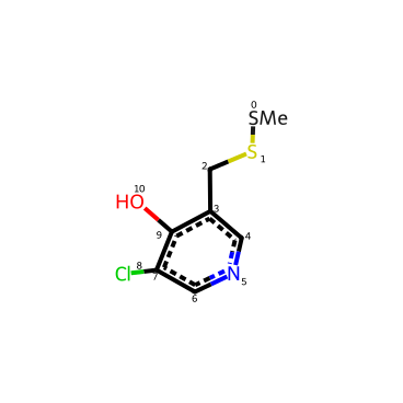 CSSCc1cncc(Cl)c1O